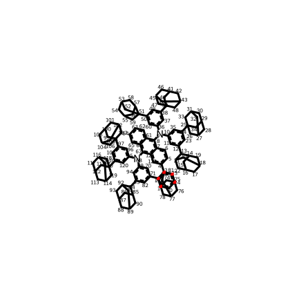 c1ccc(-c2ccc3c(N(c4cc(C5C6CC7CC(C6)CC5C7)cc(C56CC7CC(CC(C7)C5)C6)c4)c4cc(C56CC7CC(CC(C7)C5)C6)cc(C56CC7CC(CC5C7)C6)c4)c4ccccc4c(N(c4cc(C5C6CC7CC(C6)CC5C7)cc(C5C6CC7CC(C6)CC5C7)c4)c4cc(C56CC7CC(CC(C7)C5)C6)cc(C56CC7CC(CC(C7)C5)C6)c4)c3c2)cc1